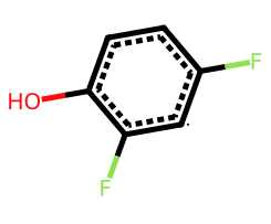 Oc1ccc(F)[c]c1F